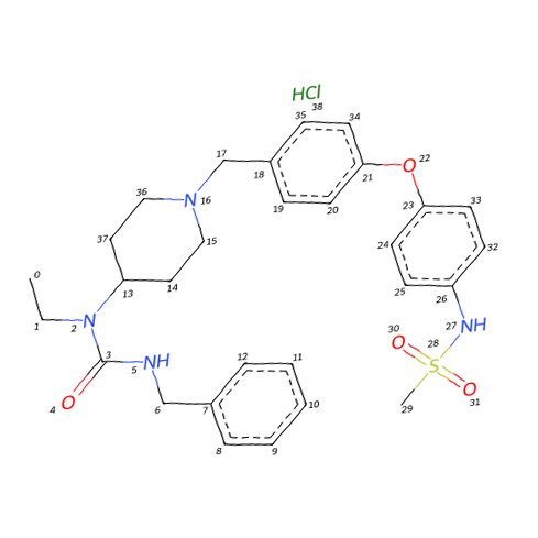 CCN(C(=O)NCc1ccccc1)C1CCN(Cc2ccc(Oc3ccc(NS(C)(=O)=O)cc3)cc2)CC1.Cl